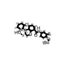 CC(C)(C)Oc1ccc(NC(=O)c2cccc3c2OC[C@H](CO)N3c2ncccc2Cl)cc1F